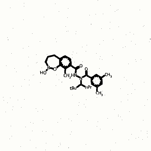 CCCC(N(NC(=O)c1ccc2c(c1C)OB(O)CCC2)C(=O)c1cc(C)cc(C)c1)C(C)(C)C